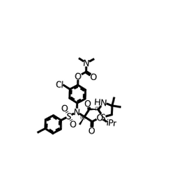 Cc1ccc(S(=O)(=O)N(c2ccc(OC(=O)N(C)C)c(Cl)c2)[C@@](C)(C(=O)OC(C)C)C(=O)[C@H]2NC(C)(C)CS2)cc1